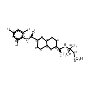 O=C(Oc1c(I)cc(I)cc1I)C1CCC2CC(C(=O)OC(CS(=O)(=O)O)(C(F)(F)F)C(F)(F)F)CCC2C1